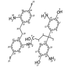 CC(CCC(=O)O)(c1ccc(O)c(N)c1)c1ccc(O)c(N)c1.Nc1cc(F)ccc1CCc1ccc(F)cc1N